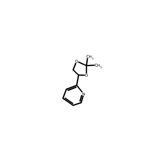 CC1(C)OCC(c2ccccn2)O1